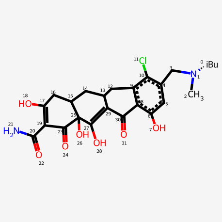 CC[C@@H](C)N(C)Cc1cc(O)c2c(c1Cl)CC1CC3CC(O)=C(C(N)=O)C(=O)C3(O)C(O)=C1C2=O